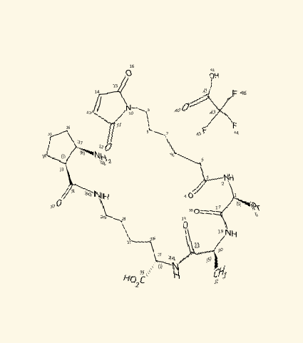 CC(C)[C@H](NC(=O)CCCCCN1C(=O)C=CC1=O)C(=O)N[C@@H](C)C(=O)N[C@@H](CCCCNC(=O)[C@H]1CCC[C@H]1N)C(=O)O.O=C(O)C(F)(F)F